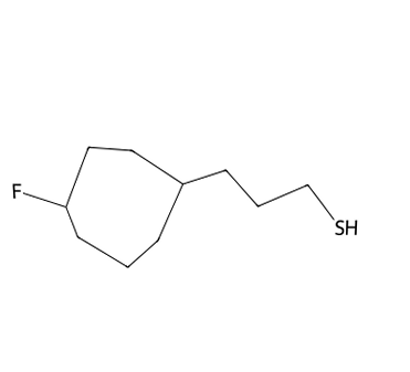 FC1CCCC(CCCS)CC1